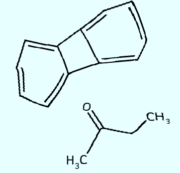 CCC(C)=O.c1ccc2c(c1)-c1ccccc1-2